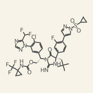 CC(C)(C)C[C@]1(c2ccc(-c3cnn(S(=O)(=O)C4CC4)c3)c(F)c2)NC(=N)N([C@H](COC(=O)NC2(C(F)(F)F)CC2)c2ccc(Cl)c(-n3ncnc3C(F)F)c2)C1=O